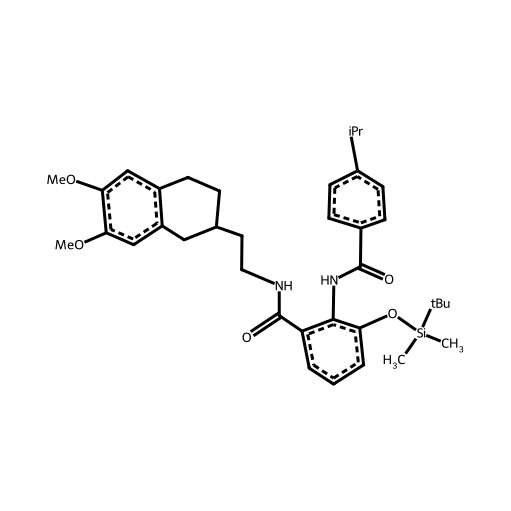 COc1cc2c(cc1OC)CC(CCNC(=O)c1cccc(O[Si](C)(C)C(C)(C)C)c1NC(=O)c1ccc(C(C)C)cc1)CC2